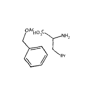 CC(=O)OCc1ccccc1.CC(C)CC(N)C(=O)O